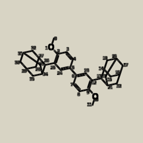 COc1ccc(-c2ccc(OC)c(C3C4CC5CC(C4)CC3C5)c2)cc1C1C2CC3CC(C2)CC1C3